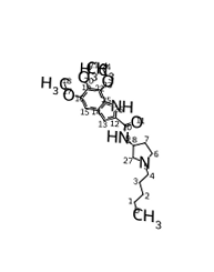 CCCCCN1CC[C@H](NC(=O)c2cc3cc(OC)c(OC)c(OC)c3[nH]2)C1